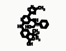 Cc1noc(-c2cnc(Nc3ccc4c(c3)C(C)(C)OB4O)cc2N[C@H](CO)c2ccccc2)n1